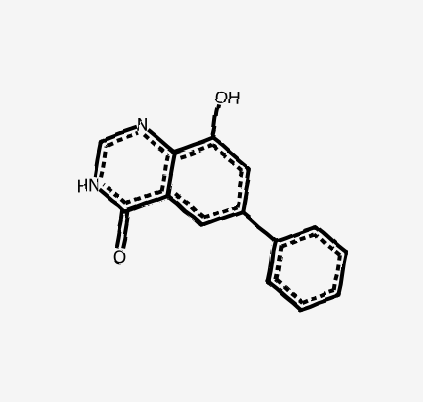 O=c1[nH]cnc2c(O)cc(-c3ccccc3)cc12